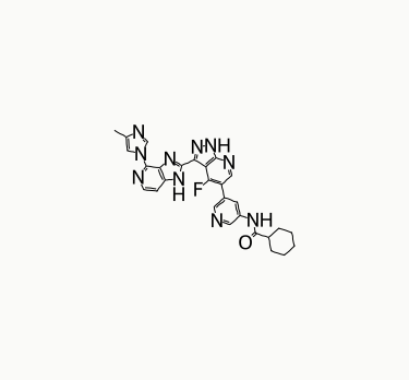 Cc1cn(-c2nccc3[nH]c(-c4n[nH]c5ncc(-c6cncc(NC(=O)C7CCCCC7)c6)c(F)c45)nc23)cn1